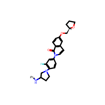 CC(C)NC1CCN(c2ccc(-n3ccc4cc(OC[C@H]5CCCO5)ccc4c3=O)cc2F)C1